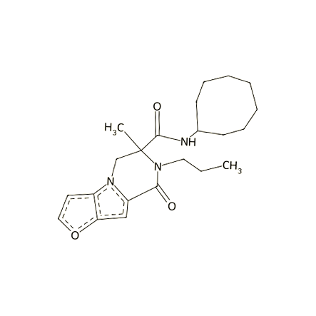 CCCN1C(=O)c2cc3occc3n2CC1(C)C(=O)NC1CCCCCCC1